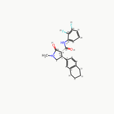 CN1C[C@H](c2ccc3c(c2)CCCC3)[C@@H](C(=O)Nc2cccc(F)c2F)C1=O